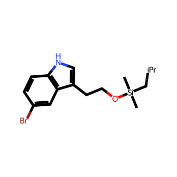 CC(C)C[Si](C)(C)OCCc1c[nH]c2ccc(Br)cc12